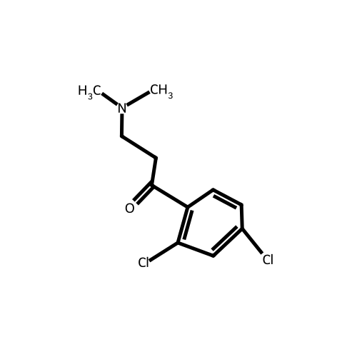 CN(C)CCC(=O)c1ccc(Cl)cc1Cl